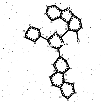 Clc1ccc2oc3ccccc3c2c1-c1nc(-c2ccccc2)nc(-c2ccc3c(ccc4ccccc43)c2)n1